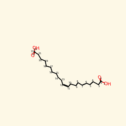 O=C(O)CCCCCCCC/C=C\CCCCCCCCCC(=O)O